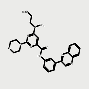 COCCN(C)c1cc(C(=O)Nc2cccc(-c3cnc4ccccc4n3)c2)nc(N2CCOCC2)n1